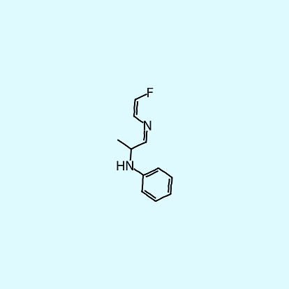 CC(/C=N\C=C/F)Nc1ccccc1